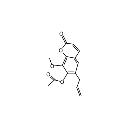 C=CCc1cc2ccc(=O)oc2c(OC)c1OC(C)=O